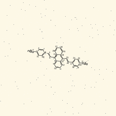 CCCCc1ccc(C=Cc2c3ccccc3c(C=Cc3ccc(CCCC)cc3)c3ccccc23)cc1